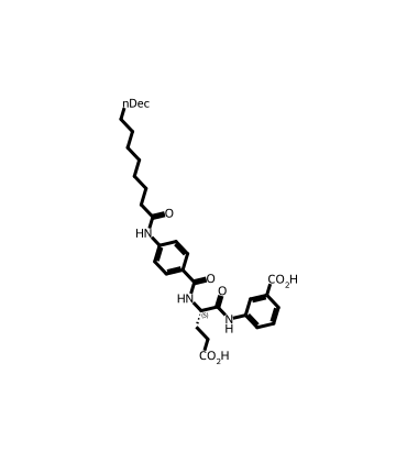 CCCCCCCCCCCCCCCCCC(=O)Nc1ccc(C(=O)N[C@@H](CCC(=O)O)C(=O)Nc2cccc(C(=O)O)c2)cc1